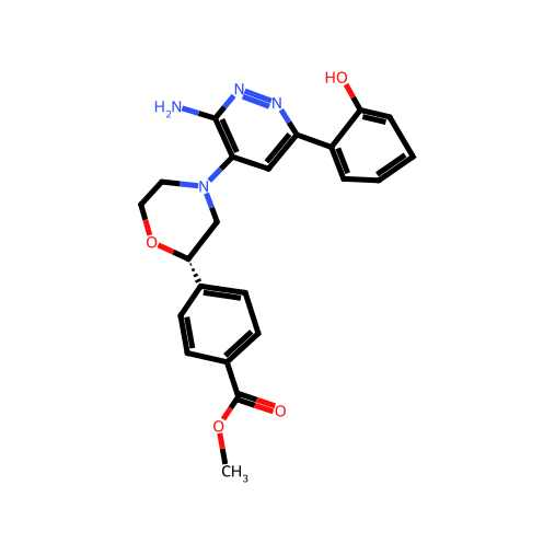 COC(=O)c1ccc([C@H]2CN(c3cc(-c4ccccc4O)nnc3N)CCO2)cc1